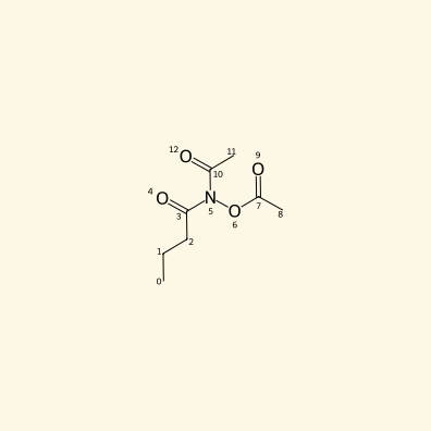 CCCC(=O)N(OC(C)=O)C(C)=O